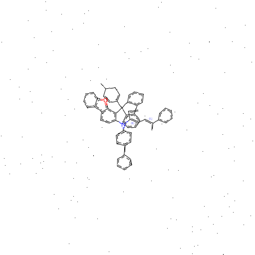 C=C/C(=C\C=C(/C)c1ccccc1)N(c1ccc(-c2ccccc2)cc1)c1ccc2c(oc3ccccc32)c1C1(C2=CCC(C)C=C2)c2ccccc2-c2ccccc21